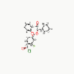 O=C(C(=O)c1ccccc1Oc1ccc(C(=O)Cl)c(F)c1)c1ccccc1